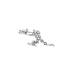 CCCCc1ccc(-c2ccc(C(=O)N3C[C@@H](NC(=O)OC(C)(C)C)C[C@H]3C(=O)N3CCC[C@H]3C(=O)N[C@@H](C)C(=O)N[C@@H](CCCCNC(=O)OC(C)(C)C)C(=O)O)cc2)cc1